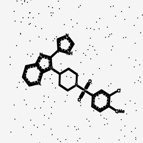 COc1ccc(S(=O)(=O)N2CCC(n3c(-c4cnc[nH]4)nc4cccnc43)CC2)cc1Cl